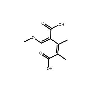 COC=C(C(=O)O)C(C)=C(C)C(=O)O